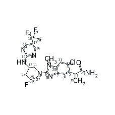 C=C(C(N)=O)c1cc2nc(N3CC(Nc4ncc(C(F)(F)F)cn4)C[C@@H](F)C3)n(C)c2cc1Cl